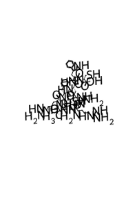 C[C@@H](NC(=O)[C@H](CS)NC(=O)[C@@H](N)CCCNC(=N)N)C(=O)N[C@@H](CCCNC(=N)N)C(=O)N[C@H](Cc1ccccc1)C(=O)N[C@@H](CCCNC(=N)N)C(=O)N[C@@H](Cc1c[nH]c2ccccc12)C(=O)N[C@@H](CS)C(=O)O